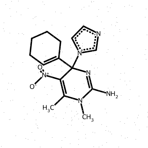 CC1=C([N+](=O)[O-])C(C2=CCCCC2)(n2ccnc2)N=C(N)N1C